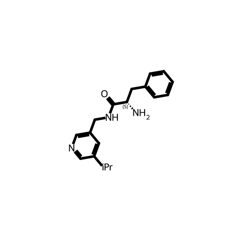 CC(C)c1cncc(CNC(=O)[C@@H](N)Cc2ccccc2)c1